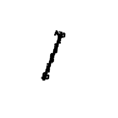 C=C(C)C(=O)OCCOCCOCCOCCOCCOCCOCCOCCOC(=O)CC(C)=O